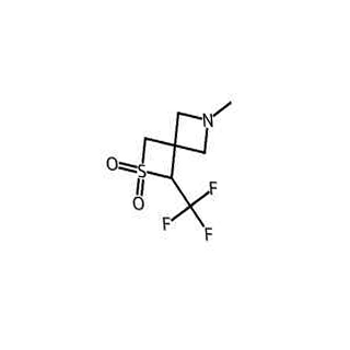 CN1CC2(C1)CS(=O)(=O)C2C(F)(F)F